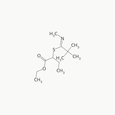 CCOC(=O)C(CC)S/C(=N\C)C(C)(C)C